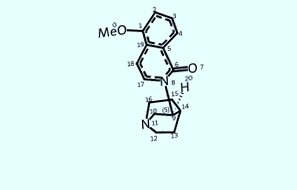 COc1cccc2c(=O)n([C@@H]3CN4CCC3CC4)ccc12